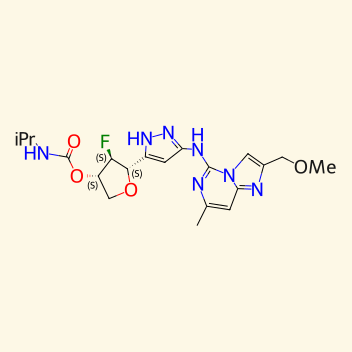 COCc1cn2c(Nc3cc([C@@H]4OC[C@H](OC(=O)NC(C)C)[C@H]4F)[nH]n3)nc(C)cc2n1